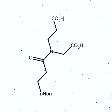 CCCCCCCCCCCC(=O)N(CCC(=O)O)CC(=O)O